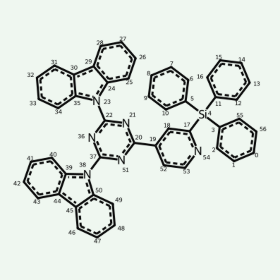 c1ccc([Si](c2ccccc2)(c2ccccc2)c2cc(-c3nc(-n4c5ccccc5c5ccccc54)nc(-n4c5ccccc5c5ccccc54)n3)ccn2)cc1